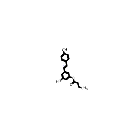 CCCC(=O)Oc1cc(O)cc(/C=C/c2ccc(O)cc2)c1